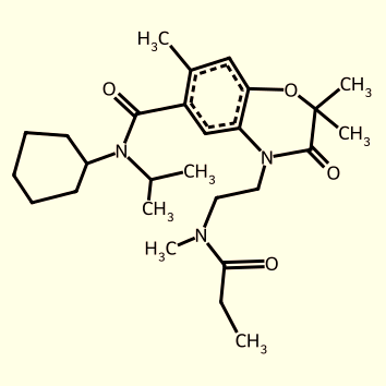 CCC(=O)N(C)CCN1C(=O)C(C)(C)Oc2cc(C)c(C(=O)N(C(C)C)C3CCCCC3)cc21